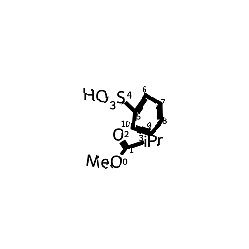 COC(=O)C(C)C.O=S(=O)(O)c1ccccc1